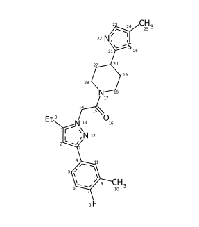 CCc1cc(-c2ccc(F)c(C)c2)nn1CC(=O)N1CCC(c2ncc(C)s2)CC1